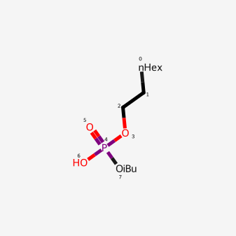 CCCCCCCCOP(=O)(O)OCC(C)C